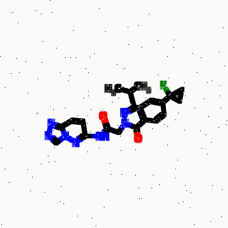 CC(C)c1nn(CC(=O)Nc2ccc3nncn3n2)c(=O)c2ccc(C3(F)CC3)cc12